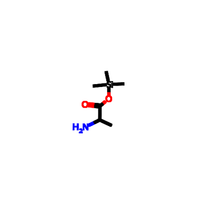 CC(N)C(=O)O[Si](C)(C)C